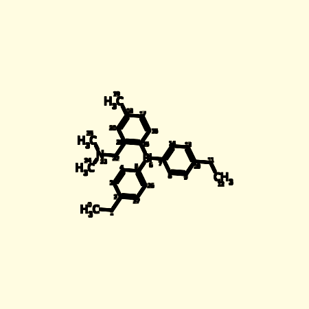 CCc1cc[c]([Bi]([c]2ccc(CC)cc2)[c]2ccc(C)cc2CN(C)C)cc1